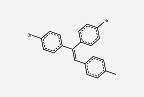 Cc1ccc(C=C(c2ccc(Br)cc2)c2ccc(Br)cc2)cc1